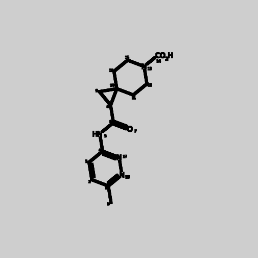 Cc1ccc(NC(=O)C2CC23CCN(C(=O)O)CC3)nn1